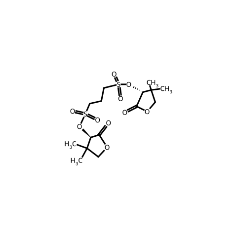 CC1(C)COC(=O)[C@@H]1OS(=O)(=O)CCCS(=O)(=O)O[C@H]1C(=O)OCC1(C)C